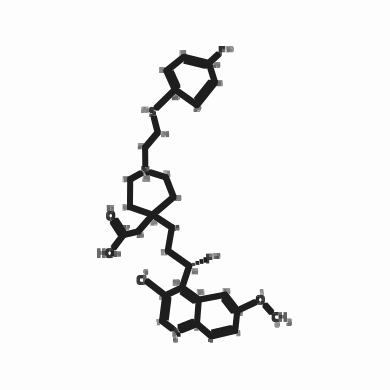 COc1ccc2ncc(Cl)c([C@@H](F)CCC3(CC(=O)O)CCN(CCSc4ccc(F)cc4)CC3)c2c1